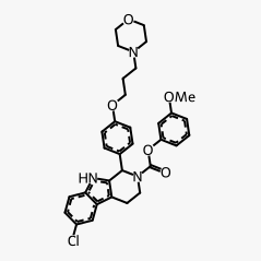 COc1cccc(OC(=O)N2CCc3c([nH]c4ccc(Cl)cc34)C2c2ccc(OCCCN3CCOCC3)cc2)c1